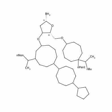 B[C@H]1CC(OC2CCCC(C3CCCC(C4CCCC4)CCC3)CCC(C(C)CCCCCCCCC)C2)[C@@H](COC2CCCC(CCCCC)(C(C)CCCC)CCC2)O1